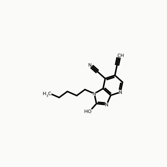 C#Cc1cnc2nc(O)n(CCCCC)c2c1C#N